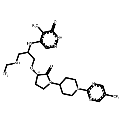 O=C1[C@H](OCC(CNCC(F)(F)F)Nc2cn[nH]c(=O)c2C(F)(F)F)CCN1C1CCN(c2ncc(C(F)(F)F)cn2)CC1